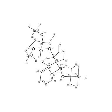 CCC(C)(O[Si](C)(O[Si](C)(C)C)C(CC)(CC)O[Si](C)(C)C)C(CC)(CC)[Si](C)(OC(CC)(CC)[Si](C)(C)C)c1ccccc1